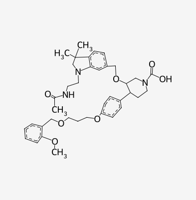 COc1ccccc1COCCCOc1ccc(C2CCN(C(=O)O)CC2OCc2ccc3c(c2)N(CCNC(C)=O)CC3(C)C)cc1